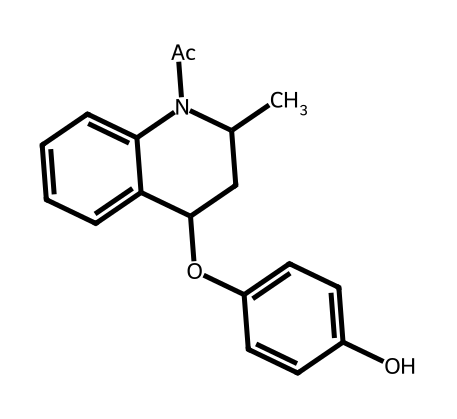 CC(=O)N1c2ccccc2C(Oc2ccc(O)cc2)CC1C